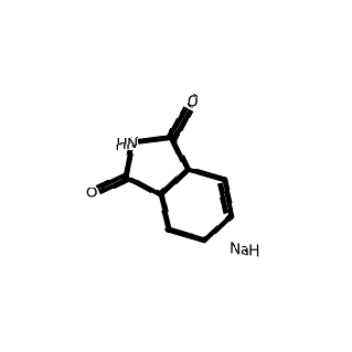 O=C1NC(=O)C2CCC=CC12.[NaH]